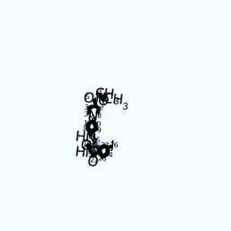 CON(C)C(=O)C1CCN(c2ccc(N/C=C3\C(=O)NC(=O)c4ccc(I)cc43)cc2)CC1